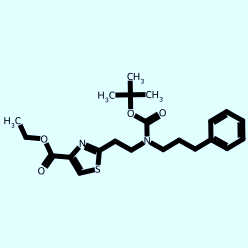 CCOC(=O)c1csc(CCN(CCCc2ccccc2)C(=O)OC(C)(C)C)n1